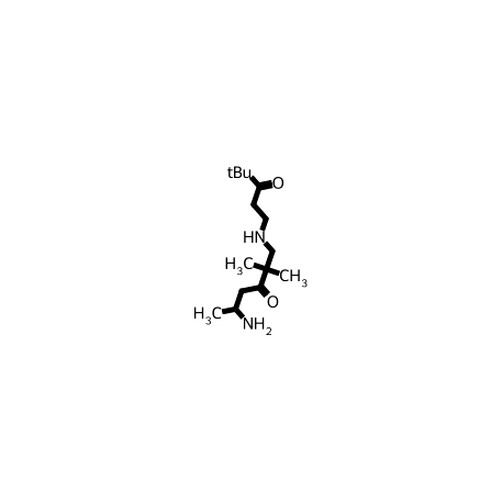 CC(N)CC(=O)C(C)(C)CNCCC(=O)C(C)(C)C